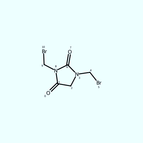 O=C1CN(CBr)C(=O)N1CBr